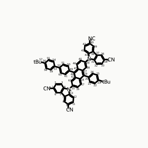 [C-]#[N+]c1ccc2c(c1)c1cc(C#N)ccc1n2-c1ccc2c(-c3ccc(C(C)(C)C)cc3)c3cc(-n4c5ccc(C#N)cc5c5cc([N+]#[C-])ccc54)ccc3c(-c3ccc(-c4ccc(C(C)(C)C)cc4)cc3)c2c1